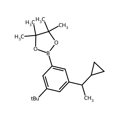 CC(c1cc(B2OC(C)(C)C(C)(C)O2)cc(C(C)(C)C)c1)C1CC1